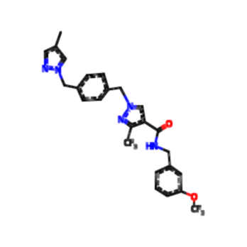 Cc1cnn(Cc2ccc(Cn3cc(C(=O)NCc4cccc(OC(F)(F)F)c4)c(C(F)(F)F)n3)cc2)c1